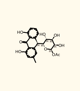 CC(=O)O[C@H]1O[C@H]([C@@H]2c3cccc(O)c3C(=O)c3c(O)cc(C)cc32)[C@H](O)[C@@H](O)[C@H]1O